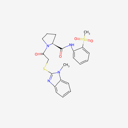 Cn1c(SCC(=O)N2CCC[C@H]2C(=O)Nc2ccccc2S(C)(=O)=O)nc2ccccc21